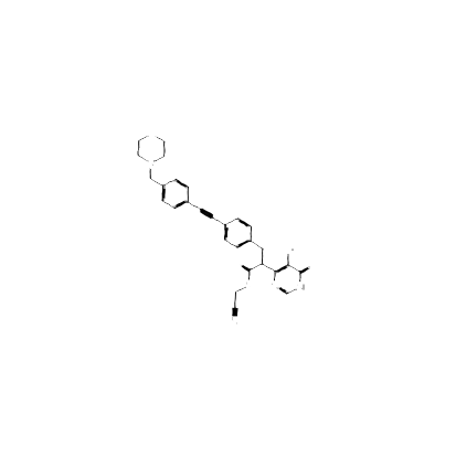 N#CCNC(=O)C(Cc1ccc(C#Cc2ccc(CN3CCOCC3)cc2)cc1)c1nc[nH]c(=O)c1O